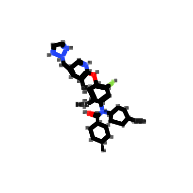 COC1CCC(N(c2cc(F)c(Oc3ncc(Cn4nccn4)cc3C(F)(F)F)cc2C(=O)O)C(=O)[C@H]2CC[C@H](C)CC2)CC1